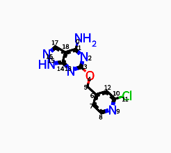 Nc1nc(OCc2ccnc(Cl)c2)nc2[nH]ncc12